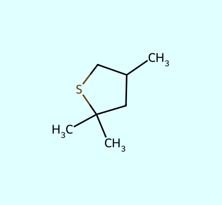 CC1CSC(C)(C)C1